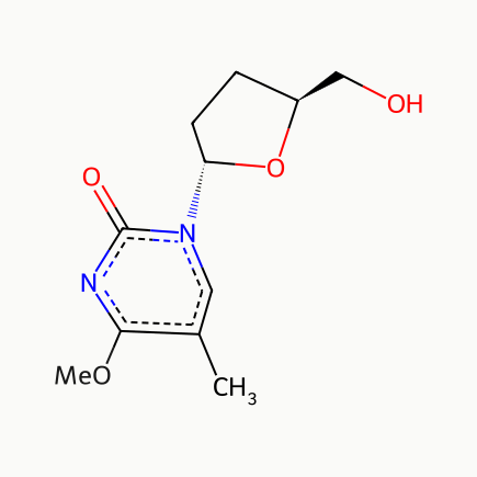 COc1nc(=O)n([C@@H]2CC[C@@H](CO)O2)cc1C